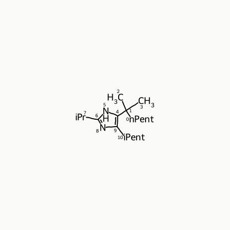 CCCCCC(C)(C)c1[nH]c(C(C)C)nc1C(C)CCC